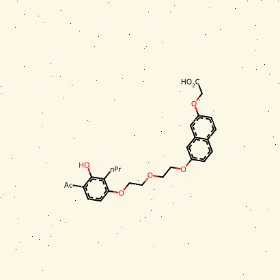 CCCc1c(OCCOCCOc2ccc3ccc(OCC(=O)O)cc3c2)ccc(C(C)=O)c1O